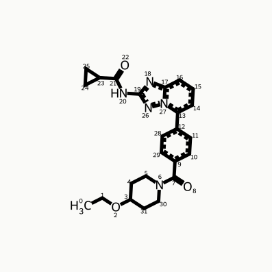 CCOC1CCN(C(=O)c2ccc(-c3cccc4nc(NC(=O)C5CC5)nn34)cc2)CC1